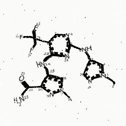 Cn1cc(Nc2ncc(C(F)(F)F)c(Nc3cn(C)nc3C(N)=O)n2)cn1